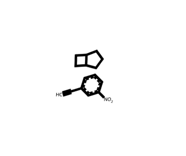 C#Cc1cccc([N+](=O)[O-])c1.C1CC2CCC2C1